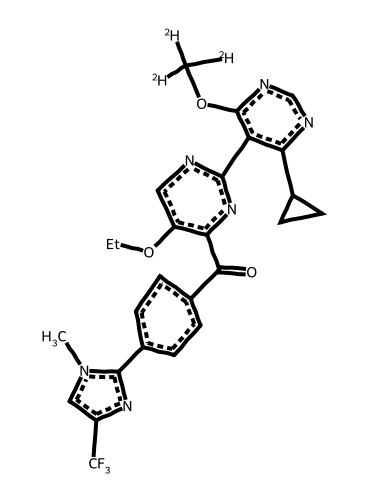 [2H]C([2H])([2H])Oc1ncnc(C2CC2)c1-c1ncc(OCC)c(C(=O)c2ccc(-c3nc(C(F)(F)F)cn3C)cc2)n1